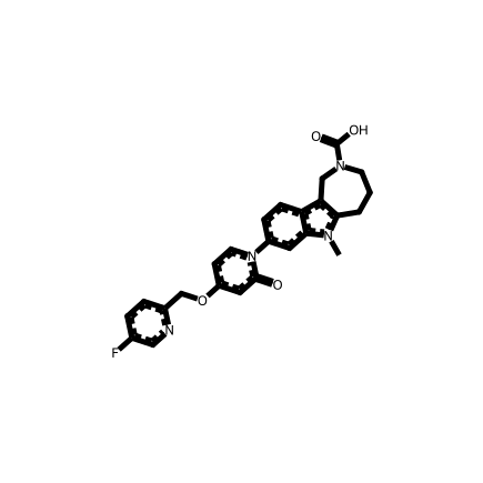 Cn1c2c(c3ccc(-n4ccc(OCc5ccc(F)cn5)cc4=O)cc31)CN(C(=O)O)CCC2